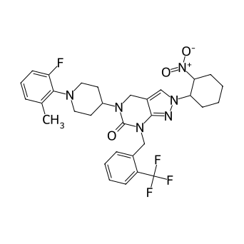 Cc1cccc(F)c1N1CCC(N2Cc3cn(C4CCCCC4[N+](=O)[O-])nc3N(Cc3ccccc3C(F)(F)F)C2=O)CC1